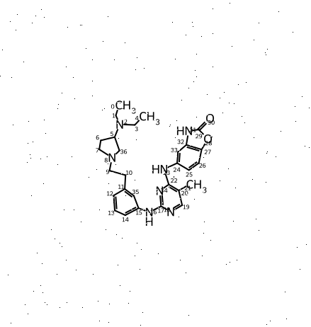 CCN(CC)C1CCN(CCc2cccc(Nc3ncc(C)c(Nc4ccc5oc(=O)[nH]c5c4)n3)c2)C1